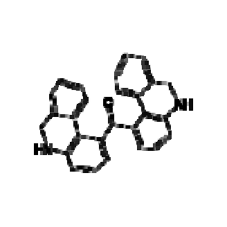 O=C(c1cccc2c1-c1ccccc1CN2)c1cccc2c1-c1ccccc1CN2